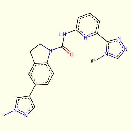 CC(C)n1cnnc1-c1cccc(NC(=O)N2CCc3cc(-c4cnn(C)c4)ccc32)n1